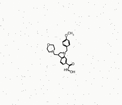 COc1ccc(CN2CC(CN3CCOCC3)c3ccc(C(=O)NO)cc32)cc1